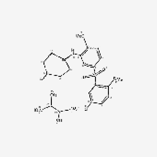 COc1ccc(S(=O)(=O)c2cc(Cl)ccc2OC)cc1NC1CCN(C)CC1.O=C(O)C(O)C(O)C(=O)O